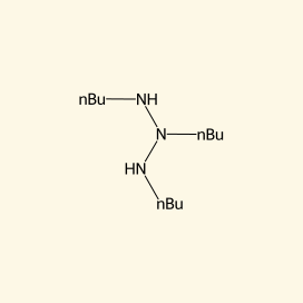 CCCCNN(CCCC)NCCCC